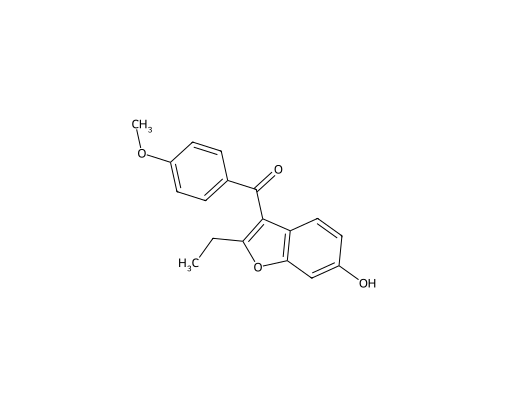 CCc1oc2cc(O)ccc2c1C(=O)c1ccc(OC)cc1